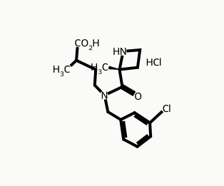 CC(CCN(Cc1cccc(Cl)c1)C(=O)[C@@]1(C)CCN1)C(=O)O.Cl